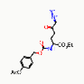 CCOC(=O)C(CCC(=O)C=[N+]=[N-])NC(=O)OCc1ccc(OC(C)=O)cc1